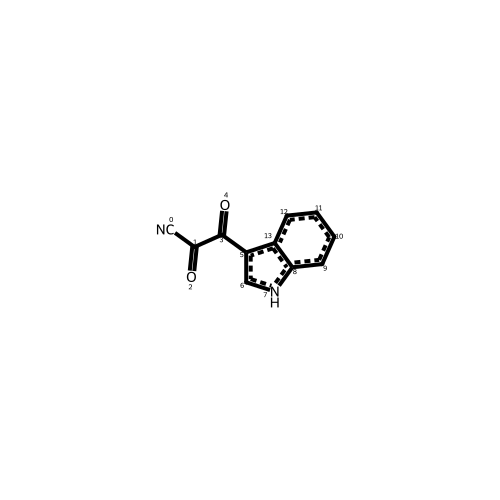 N#CC(=O)C(=O)c1c[nH]c2ccccc12